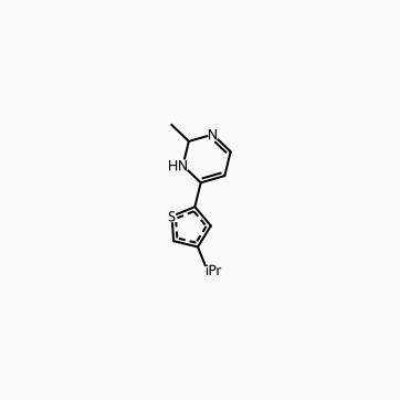 CC1N=CC=C(c2cc(C(C)C)cs2)N1